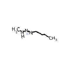 CCCC/N=N/NC